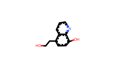 OCCc1ccc(O)c2ncccc12